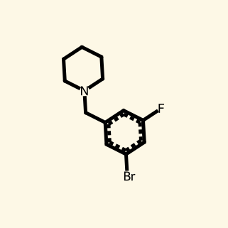 Fc1cc(Br)cc(CN2CCCCC2)c1